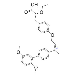 CCOC(Cc1ccc(OC/C=C(/C)c2ccc(-c3cc(OC)ccc3OC)cc2)cc1)C(=O)O